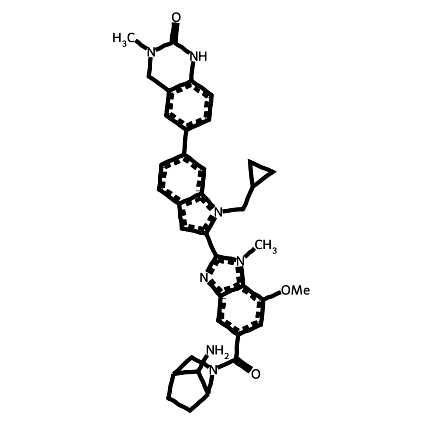 COc1cc(C(=O)N2CC3CCC2C3N)cc2nc(-c3cc4ccc(-c5ccc6c(c5)CN(C)C(=O)N6)cc4n3CC3CC3)n(C)c12